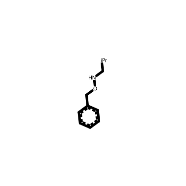 CC(C)CNOCc1ccccc1